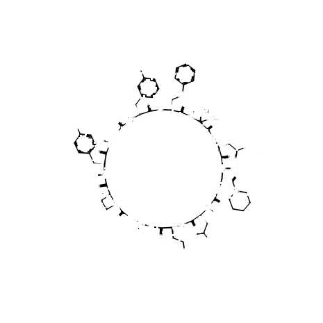 CC[C@H](C)[C@@H]1NC(=O)[C@H](CC(C)C)N(C)C(=O)C[C@@H](C(=O)N2CCCCC2)N(C)C(=O)[C@H](CC(C)C)NC(=O)C(C)(C)N(C)C(=O)[C@H](COc2ccccc2)NC(=O)[C@H](Cc2cccc(I)c2)NC(=O)CN(C)C(=O)[C@H](Cc2ccc(C)cc2)N(C)C(=O)[C@@H]2CCN2C(=O)CN(C)CC1=O